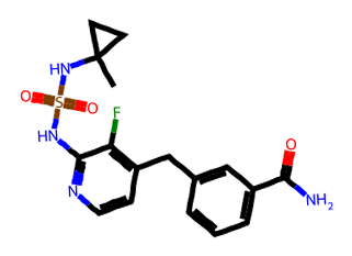 CC1(NS(=O)(=O)Nc2nccc(Cc3cccc(C(N)=O)c3)c2F)CC1